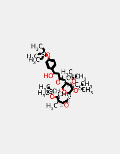 CC[Si](CC)(CC)Oc1ccc(C(O)CC(=O)C[C@H]2CO[C@@H](C[C@@H]3O[C@H]3[C@H](C)[C@H](C)O[Si](C)(C)C)[C@@H](O[Si](C)(C)C)[C@@H]2O[Si](C)(C)C)cc1